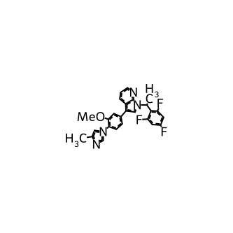 COc1cc(-c2cn(C(C)c3c(F)cc(F)cc3F)c3ncccc23)ccc1-n1cnc(C)c1